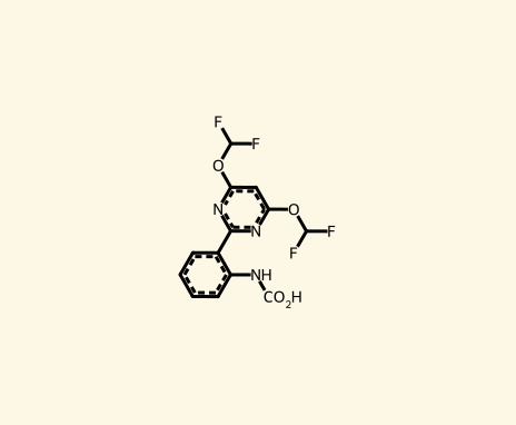 O=C(O)Nc1ccccc1-c1nc(OC(F)F)cc(OC(F)F)n1